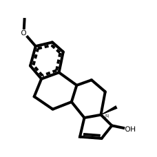 COc1ccc2c(c1)CCC1C2CC[C@]2(C)C(O)C=CC12